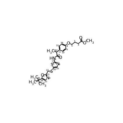 COC(=O)CCCOc1ccc(C(C)C(=O)Nc2ncc(SCc3ncc(C(C)(C)C)o3)s2)cc1